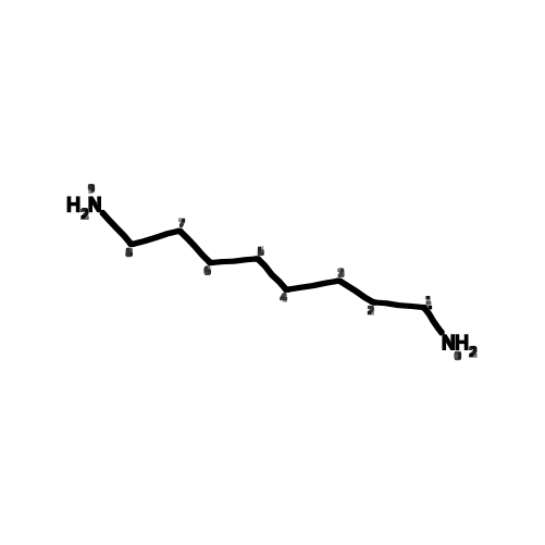 N[CH]CCCCCCCN